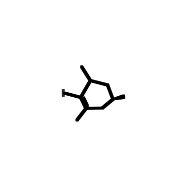 CC1=C(I)C(C)C[C@@H](C)C1